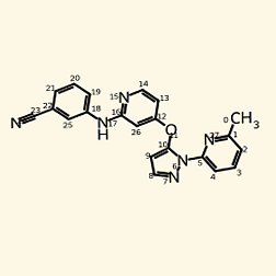 Cc1cccc(-n2nccc2Oc2ccnc(Nc3cccc(C#N)c3)c2)n1